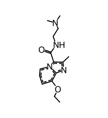 CCOc1cccn2c(C(=O)NCCN(C)C)c(C)nc12